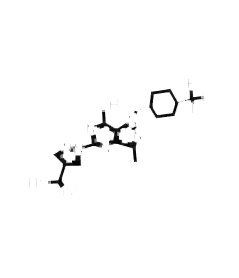 Cc1nn(C[C@H]2CC[C@H](C(F)(F)F)CC2)c2c(O)nc(-n3cc(C(=O)O)cn3)nc12